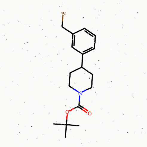 CC(C)(C)OC(=O)N1CCC(c2cccc(CBr)c2)CC1